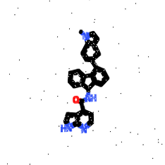 Cn1ccc2cc(-c3cccc4c3-c3ccccc3C4NC(=O)c3ccnc4[nH]ccc34)ccc21